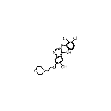 Oc1cc2c(Nc3ccc(Cl)c(Cl)c3F)ncnc2cc1OCCN1CCOCC1